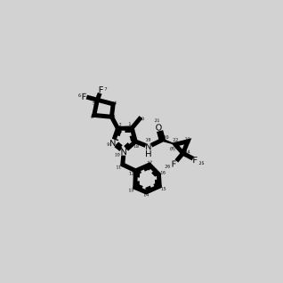 Cc1c(C2CC(F)(F)C2)nn(Cc2ccccc2)c1NC(=O)[C@H]1CC1(F)F